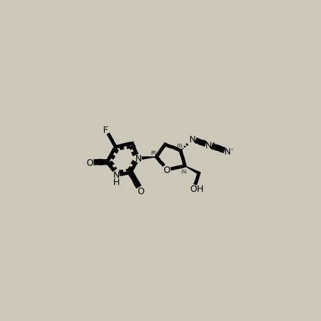 [N-]=[N+]=N[C@H]1C[C@H](n2cc(F)c(=O)[nH]c2=O)O[C@@H]1CO